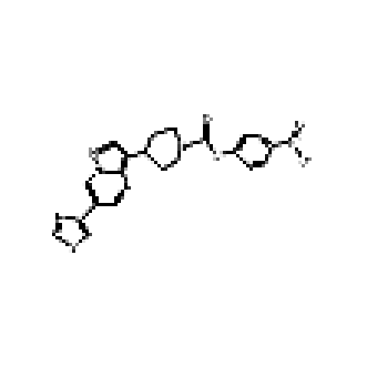 O=C(Oc1ccc([N+](=O)[O-])cc1)N1CCC(c2cnn3cc(-c4cscn4)cnc23)CC1